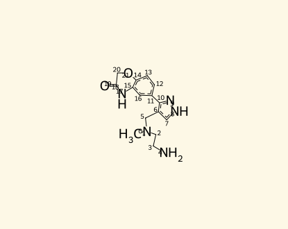 CN(CCN)Cc1c[nH]nc1-c1ccc2c(c1)NC(=O)CO2